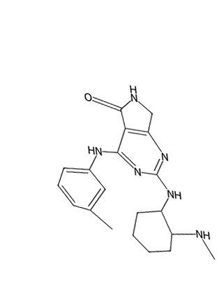 CNC1CCCCC1Nc1nc2c(c(Nc3cccc(C)c3)n1)C(=O)NC2